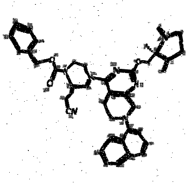 CC1CCN(C)[C@]1(C)COc1nc2c(c(N3CCN(C(=O)OCc4ccccc4)C(CC#N)C3)n1)CCN(c1cccc3ccccc13)C2